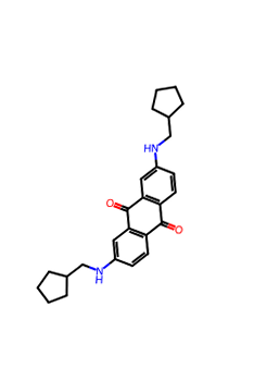 O=C1c2ccc(NCC3CCCC3)cc2C(=O)c2cc(NCC3CCCC3)ccc21